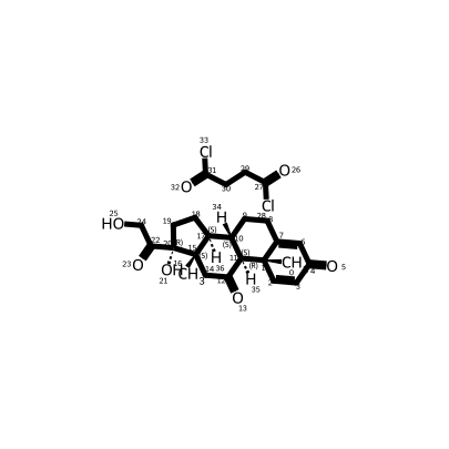 C[C@]12C=CC(=O)C=C1CC[C@@H]1[C@@H]2C(=O)C[C@@]2(C)[C@H]1CC[C@]2(O)C(=O)CO.O=C(Cl)CCC(=O)Cl